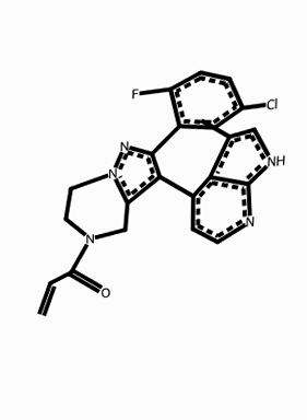 C=CC(=O)N1CCn2nc(-c3cc(Cl)ccc3F)c(-c3ccnc4[nH]cc(C)c34)c2C1